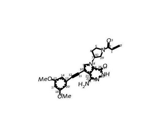 C=CC(=O)N1CC[C@H](n2cc(C#Cc3cc(OC)cc(OC)c3)c3c(N)n[nH]c(=O)c32)C1